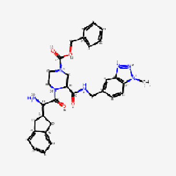 Cn1nnc2cc(CNC(=O)C3CN(C(=O)OCc4ccccc4)CCN3C(=O)C(N)C3Cc4ccccc4C3)ccc21